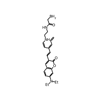 BCC(=O)NCCN\C=C/C(=C\C=C)/C=C/c1cc2ccc(N(CC)CC)cc2oc1=O